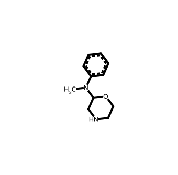 CN(c1ccccc1)C1CNCCO1